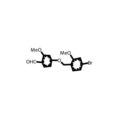 COc1cc(OCc2ccc(Br)cc2OC)ccc1C=O